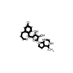 CC1NCNC2C1CCN2[C@@H]1O[C@H]([C@@H]2OCCCc3cc(Cl)ccc32)[C@@H](O)[C@H]1O